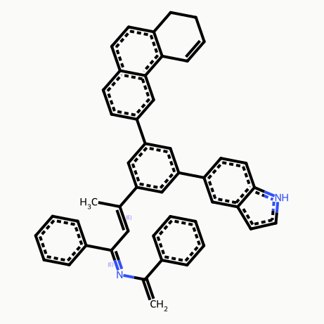 C=C(/N=C(\C=C(/C)c1cc(-c2ccc3[nH]ccc3c2)cc(-c2ccc3ccc4c(c3c2)C=CCC4)c1)c1ccccc1)c1ccccc1